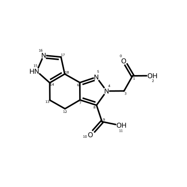 O=C(O)Cn1nc2c(c1C(=O)O)CCc1[nH]ncc1-2